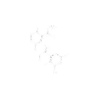 COC(=O)c1cc(C[C@H]2COc3c(Br)cc(C)cc3C2=O)ccc1F